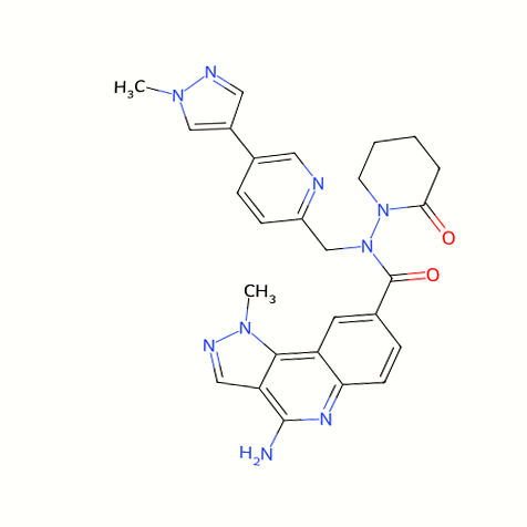 Cn1cc(-c2ccc(CN(C(=O)c3ccc4nc(N)c5cnn(C)c5c4c3)N3CCCCC3=O)nc2)cn1